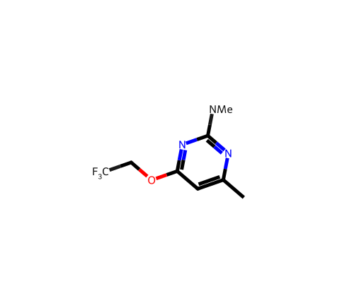 CNc1nc(C)cc(OCC(F)(F)F)n1